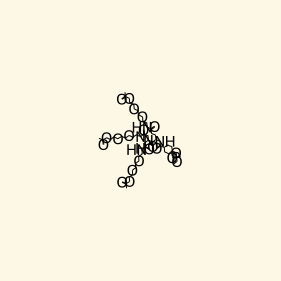 COP(C)(=O)OC1CCC(C(=O)NC(CCC(=O)NCCOCCOCCOC(C)=O)C(=O)N(CC(=O)NCCOCCOCCOC(C)=O)CC(=O)NCCOCCOCCOC(C)=O)CC1